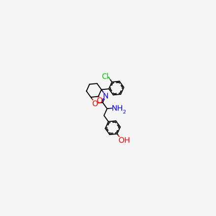 NC(Cc1ccc(O)cc1)C1=NC2(c3ccccc3Cl)CCCC(O1)C2=O